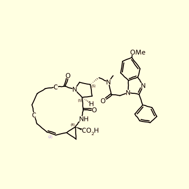 COc1ccc2c(c1)nc(-c1ccccc1)n2CC(=O)N(C)C[C@@H]1C[C@H]2C(=O)N[C@]3(C(=O)O)CC3/C=C\CCCCCCC(=O)N2C1